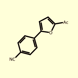 CC(=O)c1ccc(-c2ccc(C#N)cc2)o1